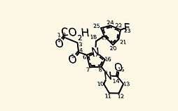 O=C(O)C(=O)CC(=O)c1cc(N2CCCCC2=O)cn1Cc1ccc(F)cc1